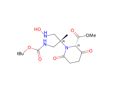 COC(=O)[C@@H]1C(=O)CCC(=O)N1[C@@](C)(CNO)CNC(=O)OC(C)(C)C